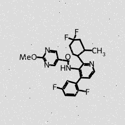 COc1ncc(C(=O)Nc2c(-c3cc(F)ccc3F)ccnc2C2CCC(F)(F)CC2C)cn1